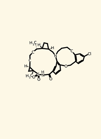 C[C@H]1CCC[C@@H]2C[C@@]2(C)S(=O)(=O)NC(=O)c2ccc3c(c2)N(CCCCc2cc(Cl)ccc2CO3)C[C@@H]2CC[C@H]21